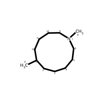 CC1CCCCCN(C)CCCC1